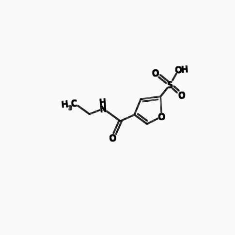 CCNC(=O)c1coc(S(=O)(=O)O)c1